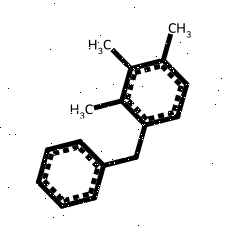 Cc1ccc(Cc2ccccc2)c(C)c1C